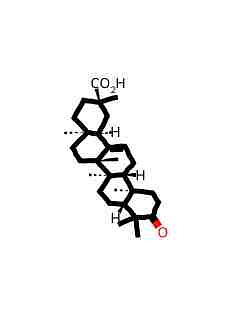 CC1(C)C(=O)CC[C@]2(C)[C@H]3CC=C4[C@@H]5C[C@](C)(C(=O)O)CC[C@]5(C)CC[C@@]4(C)[C@]3(C)CC[C@@H]12